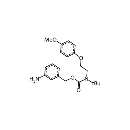 COc1ccc(OCCN(C(=O)OCc2cccc(N)c2)C(C)(C)C)cc1